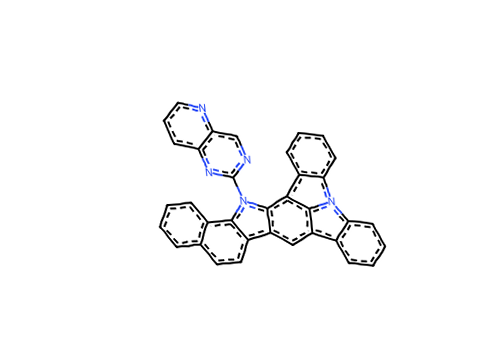 c1ccc2c(c1)ccc1c3cc4c5ccccc5n5c6ccccc6c(c3n(-c3ncc6ncccc6n3)c21)c45